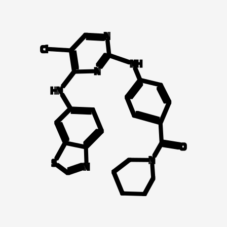 O=C(c1ccc(Nc2ncc(Cl)c(Nc3ccc4ncsc4c3)n2)cc1)N1CCCCC1